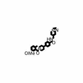 COc1cccc(C)c1C(=O)N1CCC(c2ccc(C(=O)NCc3ccn4ccnc4c3)cc2)CC1